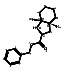 O=C(OCc1ccccc1)C1C[C@@H]2CCCC[C@H]2N1